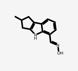 CC1Cc2[nH]c3c(/C=N/O)cccc3c2C1